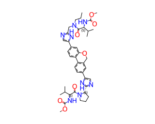 CCCN(Cc1ncc(-c2ccc3c(c2)OCc2cc(-c4cnc([C@@H]5CCCN5C(=O)[C@@H](NC(=O)OC)C(C)C)[nH]4)ccc2-3)[nH]1)C(=O)[C@@H](NC(=O)OC)C(C)C